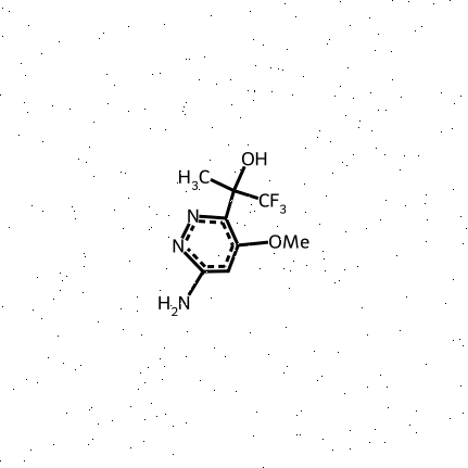 COc1cc(N)nnc1C(C)(O)C(F)(F)F